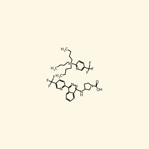 CCC[CH2][Sn]([CH2]CCC)([CH2]CCC)[c]1ccc(C(F)(F)F)cn1.O=C(O)N1CCC(Nc2nnc(-c3ccc(C(F)(F)F)cn3)c3ccccc23)C1